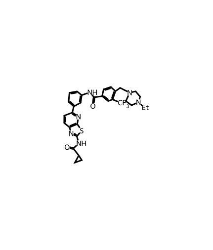 CCN1CCN(Cc2ccc(C(=O)Nc3cccc(-c4ccc5nc(NC(=O)C6CC6)sc5n4)c3)cc2C(F)(F)F)CC1